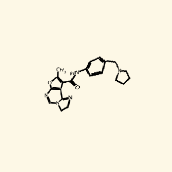 Cc1oc2c(c1C(=O)Nc1ccc(CN3CCCC3)cc1)C1=NCCN1C=N2